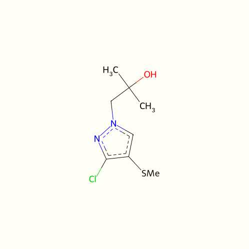 CSc1cn(CC(C)(C)O)nc1Cl